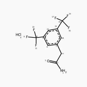 Cl.NC(=O)Cc1cc(C(F)(F)F)cc(C(F)(F)F)c1